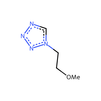 COCCn1cnnn1